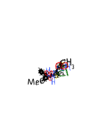 COc1ccc(NC(=O)C(=O)Nc2nc(CNS(C)(=O)=O)c(Cl)s2)c(C(=O)C2CCCC2)c1